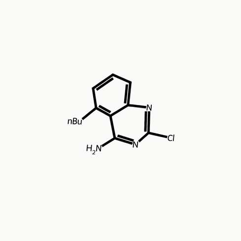 CCCCc1cccc2nc(Cl)nc(N)c12